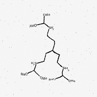 COC(OC)[SiH2]CCC(CC[SiH2]C(OC)OC)CC[SiH2]C(OC)OC